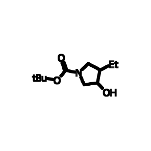 CCC1CN(C(=O)OC(C)(C)C)CC1O